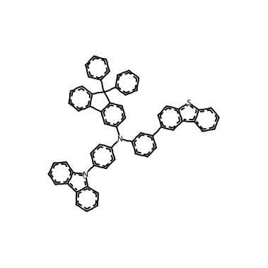 c1ccc(C2(c3ccccc3)c3ccccc3-c3cc(N(c4ccc(-n5c6ccccc6c6ccccc65)cc4)c4cccc(-c5ccc6sc7ccccc7c6c5)c4)ccc32)cc1